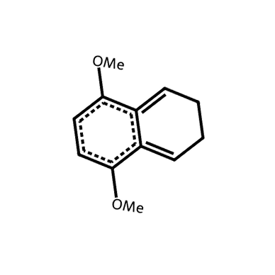 COc1ccc(OC)c2c1=CCCC=2